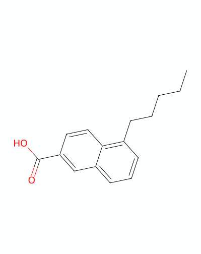 CCCCCc1cccc2cc(C(=O)O)ccc12